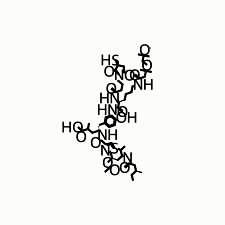 CC[C@H](C)CC(=O)N(C)C(C[C@@H](OC(C)=O)c1nc(C(=O)N[C@@H](Cc2ccc(O)c(NC(=O)[C@H](CCCCNC(=O)CC(C)(C)OCC(C)(C)OC)NC(=O)CCCN3C(=O)CC(S)C3=O)c2)CC(C)C(=O)O)cs1)C(C)C